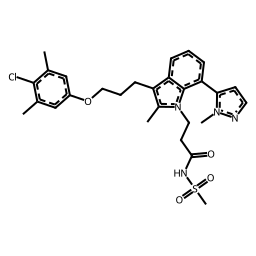 Cc1cc(OCCCc2c(C)n(CCC(=O)NS(C)(=O)=O)c3c(-c4ccnn4C)cccc23)cc(C)c1Cl